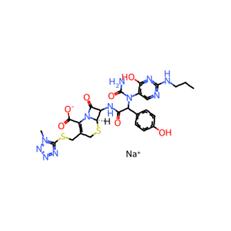 CCCNc1ncc(N(C(N)=O)C(C(=O)NC2C(=O)N3C(C(=O)[O-])=C(CSc4nnnn4C)CS[C@H]23)c2ccc(O)cc2)c(O)n1.[Na+]